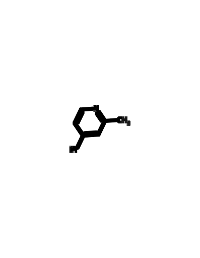 Cc1cc(C(C)C)ccn1